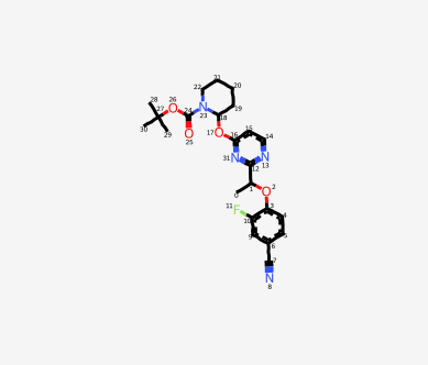 CC(Oc1ccc(C#N)cc1F)c1nccc(OC2CCCCN2C(=O)OC(C)(C)C)n1